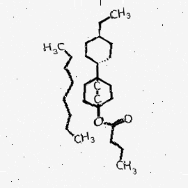 CCCC(=O)OC12CCC([C@H]3CC[C@H](CC)CC3)(CC1)CC2.CCCCCCCC